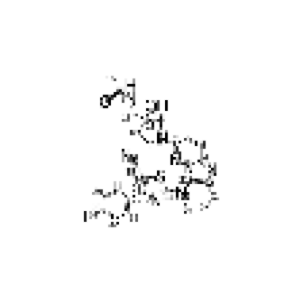 CCc1nc2ccc(N3CCC(O)(CNC(C)=O)C3)nn2c1N(C)c1nc(-c2ccc(F)cc2)c(C#N)s1